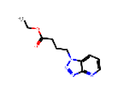 CCOC(=O)CCCn1nnc2ncccc21